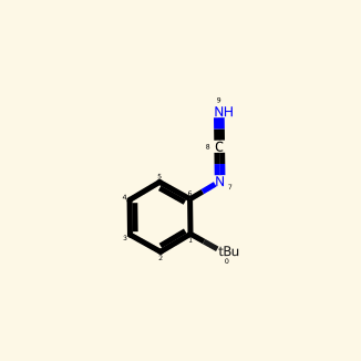 CC(C)(C)c1ccccc1N=C=N